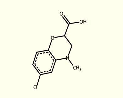 CN1CC(C(=O)O)Oc2ccc(Cl)cc21